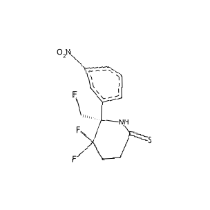 O=[N+]([O-])c1cccc([C@@]2(CF)NC(=S)CCC2(F)F)c1